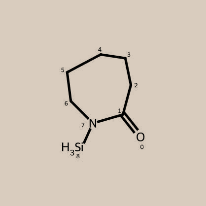 O=C1CCCCCN1[SiH3]